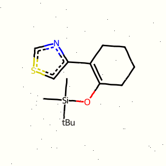 CC(C)(C)[Si](C)(C)OC1=C(c2cscn2)CCCC1